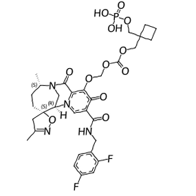 CC1=NO[C@@]2(CC[C@H](C)N3C[C@H]2n2cc(C(=O)NCc4ccc(F)cc4F)c(=O)c(OCOC(=O)OCC4(COP(=O)(O)O)CCC4)c2C3=O)C1